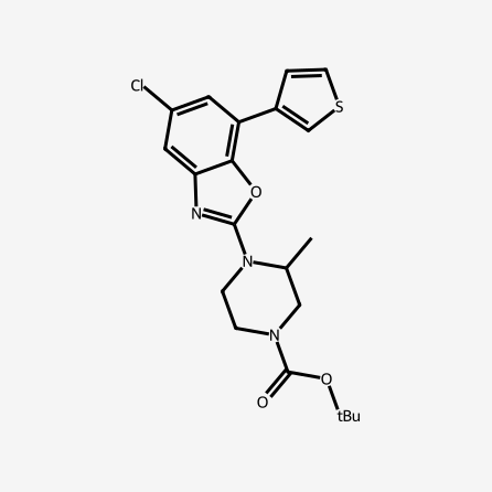 CC1CN(C(=O)OC(C)(C)C)CCN1c1nc2cc(Cl)cc(-c3ccsc3)c2o1